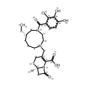 CC[C@H]1CCCN(CC2=C(C(=O)O)N3C(=O)C[C@H]3SC2)CCN(C(=O)c2ccc(O)c(O)c2Cl)C1